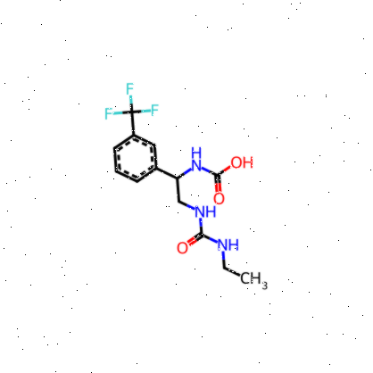 CCNC(=O)NCC(NC(=O)O)c1cccc(C(F)(F)F)c1